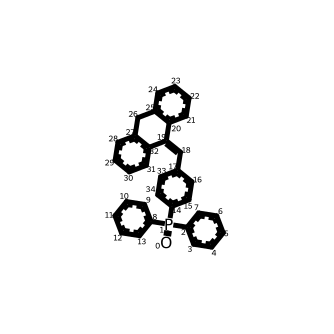 O=P(c1ccccc1)(c1ccccc1)c1ccc(C=C2c3ccccc3Cc3ccccc32)cc1